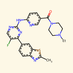 CCN1CCN(C(=O)c2ccc(Nc3ncc(F)c(-c4ccc5nc(C)sc5c4)n3)nc2)CC1